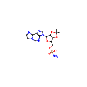 CC1(C)OC2C(COS(N)(=O)=O)OC(n3cnc4c3ncn3ccnc43)C2O1